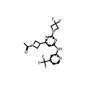 CC(=O)N1CC(c2cc(Nc3cc(C(F)(F)F)ccn3)nc(N3CC(F)(F)C3)n2)C1